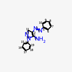 Nc1c(N=Nc2ccccc2)cnn1-c1ccccc1